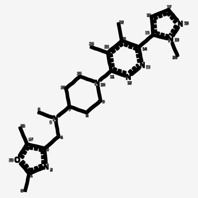 Cc1nc(CN(C)C2CCN(c3nnc(-c4ccnn4C)c(C)c3C)CC2)c(C)o1